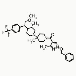 COC[C@@H](c1ccc(C(F)(F)F)cc1)C1CCN(C2(C)CCN(C(=O)c3cn(OCc4ccccc4)nc3C)CC2)C[C@@H]1C